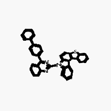 c1ccc(-c2ccc(-c3nc(-n4c5ccccc5c5c6c(ccc54)sc4ccccc46)nc4ccccc34)cc2)cc1